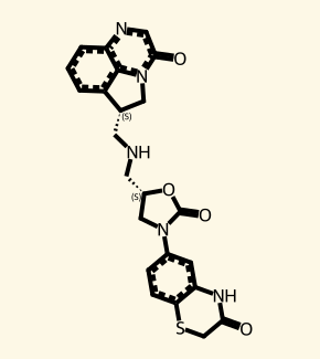 O=C1CSc2ccc(N3C[C@H](CNC[C@H]4Cn5c(=O)cnc6cccc4c65)OC3=O)cc2N1